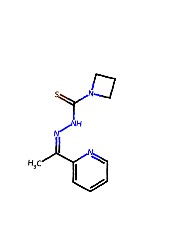 C/C(=N/NC(=S)N1CCC1)c1ccccn1